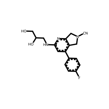 N#CN1Cc2nc(NCC(O)CO)cc(-c3ccc(F)cc3)c2C1